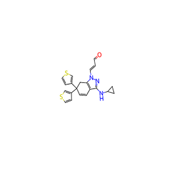 O=CC=Cn1nc(NC2CC2)c2c1CC(c1ccsc1)(c1ccsc1)C=C2